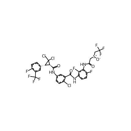 O=C(C[S+]([O-])CC(F)(F)F)Nc1c(F)ccc(NC(=O)c2cc(NC(=O)[C@H]3[C@H](c4ccc(F)c(C(F)(F)F)c4)C3(Cl)Cl)ccc2Cl)c1F